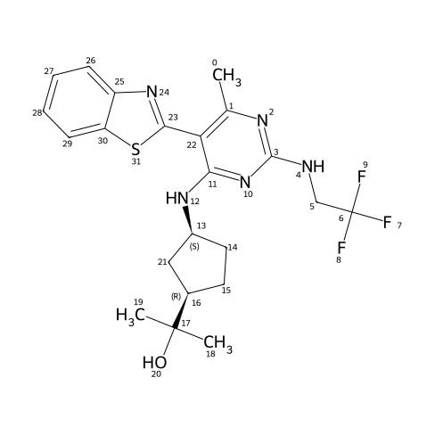 Cc1nc(NCC(F)(F)F)nc(N[C@H]2CC[C@@H](C(C)(C)O)C2)c1-c1nc2ccccc2s1